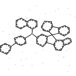 c1ccc(-c2ccc(N(c3ccc4c(c3)C3(c5ccccc5-c5ccccc53)c3c-4ccc4ccccc34)c3cccc4ccccc34)cc2)cc1